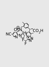 Cc1ccc([C@@H](CC(=O)O)c2ccn3c(C(F)F)nnc3c2C)cc1CN1C[C@H]2CCCN2c2ncc(C#N)cc2S1(=O)=O